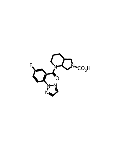 O=C(O)N1CC2CCCN(C(=O)c3cc(F)ccc3-n3nccn3)C2C1